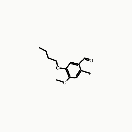 CCCCOc1cc(C=O)c(F)cc1OC